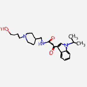 CC(C)n1cc(C(=O)C(=O)NCC2CCN(CCCO)CC2)c2ccccc21